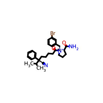 CC(C)[C@@](C#N)(CCCCC(=O)[N@@+]1(Cc2cccc(Br)c2)CCCC1C(N)=O)c1ccccc1